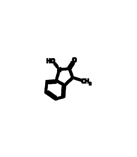 CC1C(=O)N(O)c2ccccc21